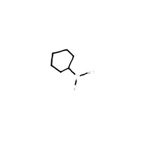 CC(C)B(C(C)C)C1CCCCC1